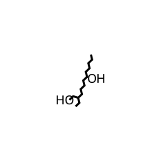 CCCCCC(O)CCCCC(CC)CO